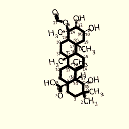 CC1(C)CC[C@]2(C(=O)O)CC[C@]3(C)C(=CCC4[C@@]5(C)C[C@@H](O)[C@H](O)[C@](C)(OC=O)C5CC[C@]43C)[C@@H]2[C@@H]1O